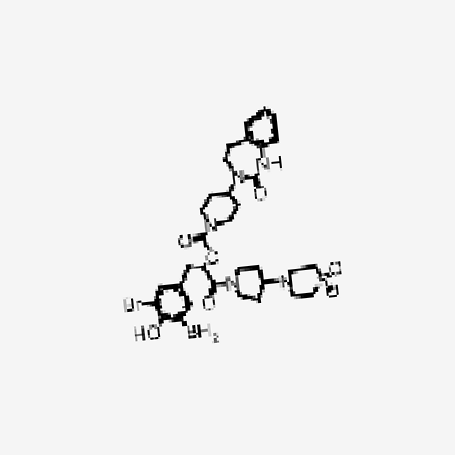 Bc1cc(C[C@@H](OC(=O)N2CCC(N3CCc4ccccc4NC3=O)CC2)C(=O)N2CCC(N3CCS(=O)(=O)CC3)CC2)cc(Br)c1O